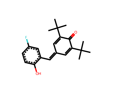 CC(C)(C)C1=CC(=Cc2cc(F)ccc2O)C=C(C(C)(C)C)C1=O